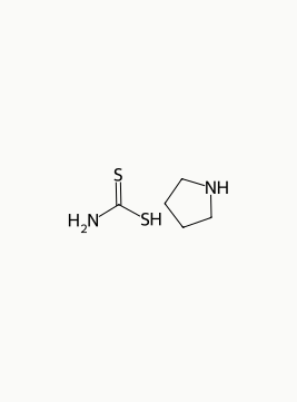 C1CCNC1.NC(=S)S